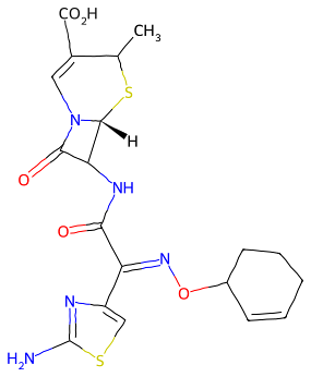 CC1S[C@@H]2C(NC(=O)C(=NOC3C=CCCC3)c3csc(N)n3)C(=O)N2C=C1C(=O)O